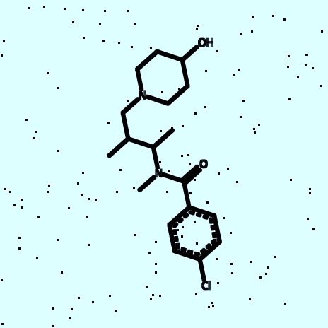 CC(CN1CCC(O)CC1)C(C)N(C)C(=O)c1ccc(Cl)cc1